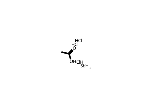 CC(=O)O.Cl.Cl.Cl.[SbH3]